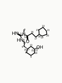 CN(C(=N)NCC[C@@H]1CCC[C@H](O)C1)C(=O)CCC1CCCCC1